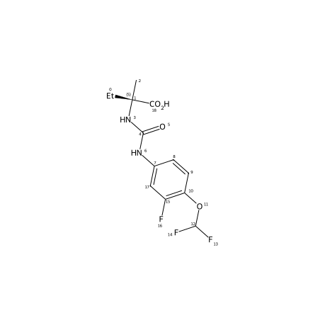 CC[C@](C)(NC(=O)Nc1ccc(OC(F)F)c(F)c1)C(=O)O